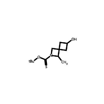 CC1N(C(=S)OC(C)(C)C)CC12CC(O)C2